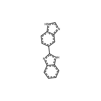 [c]1ccc2nc(-c3ccc4[nH]cnc4c3)[nH]c2c1